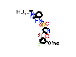 COc1cc(F)ccc1Oc1ncc(S(=O)(=O)CN[C@@H]2CCCc3c2cnn3CC(=O)O)cc1Br